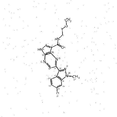 COCCNC(=O)c1c[nH]c2ncc(-c3nn(C)c4cc(Cl)ccc34)nc12